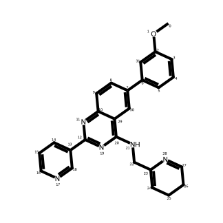 COc1cccc(-c2ccc3nc(-c4cccnc4)nc(NCC4=CCCC=N4)c3c2)c1